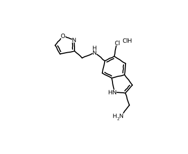 Cl.NCc1cc2cc(Cl)c(NCc3ccon3)cc2[nH]1